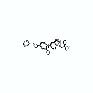 COC(=O)Cn1ncc2cc(-n3ccc(OCc4ccccc4)cc3=O)ccc21